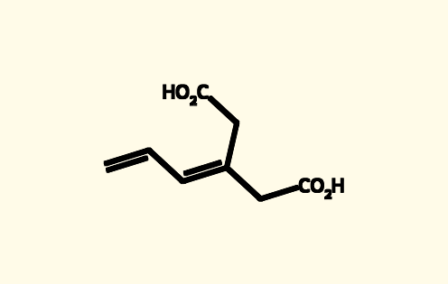 C=CC=C(CC(=O)O)CC(=O)O